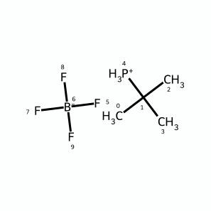 CC(C)(C)[PH3+].F[B-](F)(F)F